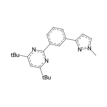 Cn1ccc(-c2cccc(-c3nc(C(C)(C)C)cc(C(C)(C)C)n3)c2)n1